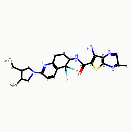 CNC1CN(c2ccc3c(n2)CCC(NC(=O)c2sc4nc(C)cnc4c2N)C3(F)F)CC1COC